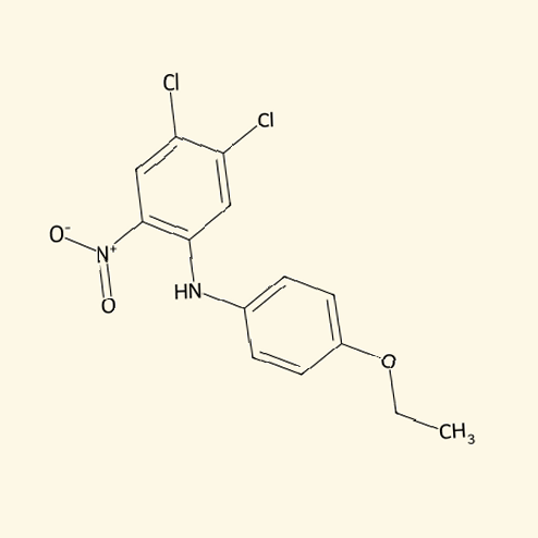 CCOc1ccc(Nc2cc(Cl)c(Cl)cc2[N+](=O)[O-])cc1